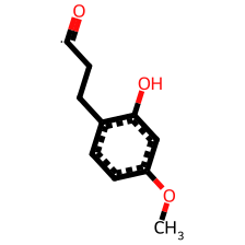 COc1ccc(CC[C]=O)c(O)c1